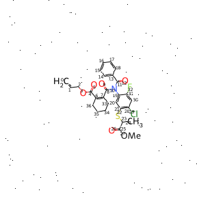 C=CCOC(=O)C1=C(C(=O)N(C(=O)c2ccccc2)c2cc(SC(C)C(=O)OC)c(Cl)cc2F)CCCC1